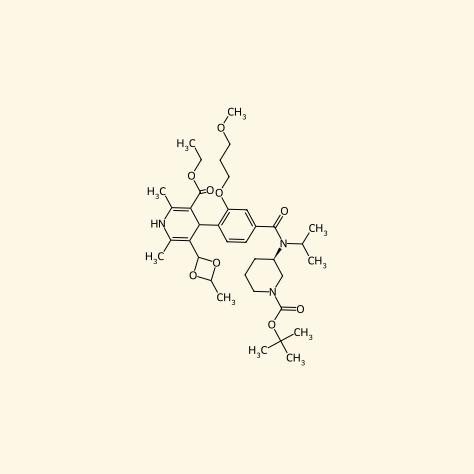 CCOC(=O)C1=C(C)NC(C)=C(C2OC(C)O2)C1c1ccc(C(=O)N(C(C)C)[C@@H]2CCCN(C(=O)OC(C)(C)C)C2)cc1OCCCOC